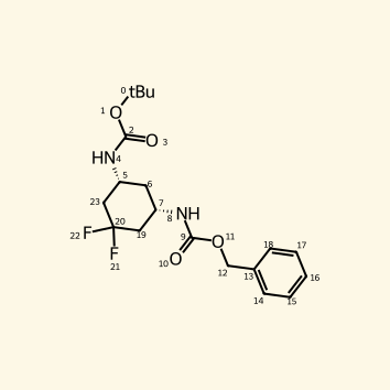 CC(C)(C)OC(=O)N[C@@H]1C[C@H](NC(=O)OCc2ccccc2)CC(F)(F)C1